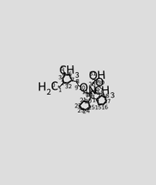 C=Cc1cc(C)cc(CCOC[C@H](C(c2ccccc2)c2ccccc2)N(C)CC(=O)O)c1